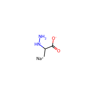 CC(NN)C(=O)[O-].[Na+]